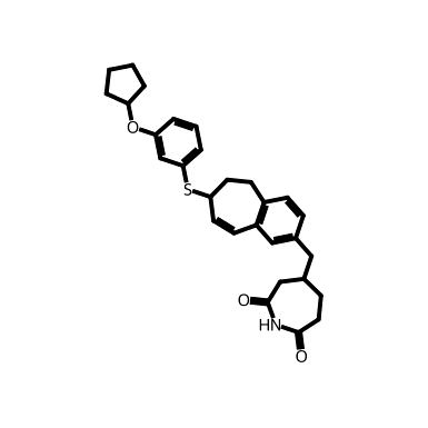 O=C1CCC(Cc2ccc3c(c2)C=CC(Sc2cccc(OC4CCCC4)c2)CC3)CC(=O)N1